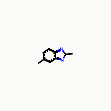 Cc1ccc2c(c1)=NC(C)N=2